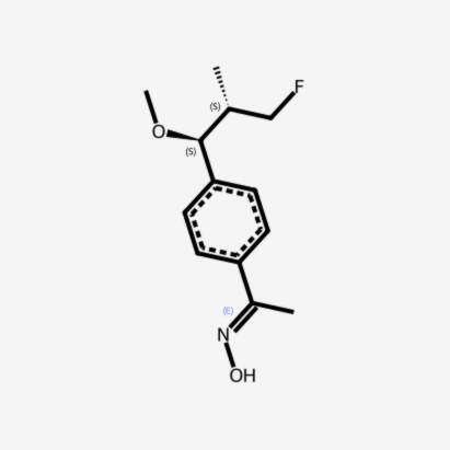 CO[C@H](c1ccc(/C(C)=N/O)cc1)[C@H](C)CF